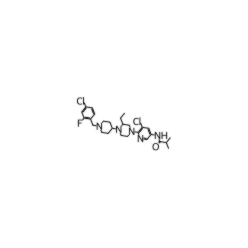 CCC1CN(c2ncc(NC(=O)C(C)C)cc2Cl)CCN1C1CCN(Cc2ccc(Cl)cc2F)CC1